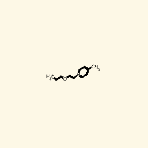 CCCOCCN1CCC(C)CC1